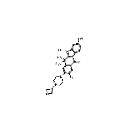 CC(C)c1cc2c(cc1N1CCN(C3COC3)CC1)C(C)(C)c1c(c3ccc(C#N)cc3n1C)C2=O